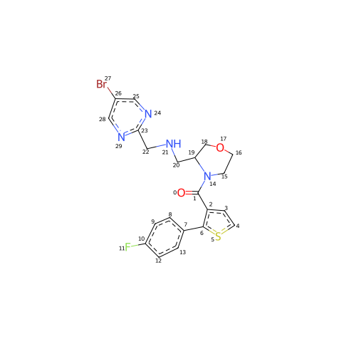 O=C(c1ccsc1-c1ccc(F)cc1)N1CCOCC1CNCc1ncc(Br)cn1